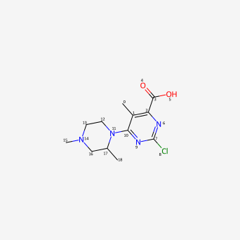 Cc1c(C(=O)O)nc(Cl)nc1N1CCN(C)CC1C